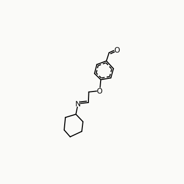 O=Cc1ccc(OCC=NC2CCCCC2)cc1